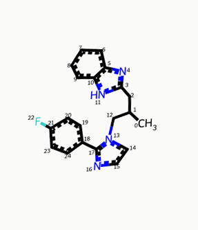 CC(Cc1nc2ccccc2[nH]1)Cn1ccnc1-c1ccc(F)cc1